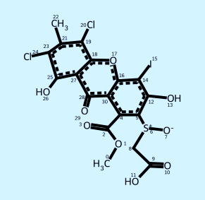 COC(=O)c1c([S+]([O-])CC(=O)O)c(O)c(I)c2oc3c(Cl)c(C)c(Cl)c(O)c3c(=O)c12